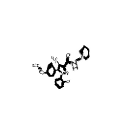 CCOc1ccc([C@H]2[C@H](C)C(C(=O)NN3CCCCC3)=NN2c2ccccc2Cl)cc1